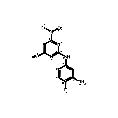 CCCc1cc(N(CC)CC)nc(Nc2ccc(F)c(N)c2)n1